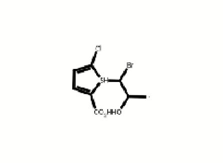 [CH2]C(O)C(Br)[SH]1C(Cl)=CC=C1C(=O)O